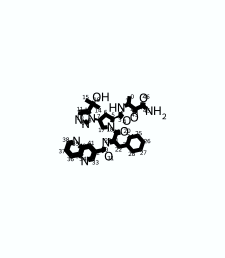 CC(NC(=O)[C@@H]1C[C@H](n2nncc2C(C)(C)O)CN1C(=O)/C(CC1CCCCC1)=N/C(=O)c1cnc2cccnc2c1)C(=O)C(N)=O